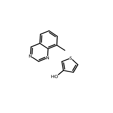 Cc1cccc2cncnc12.Oc1ccsc1